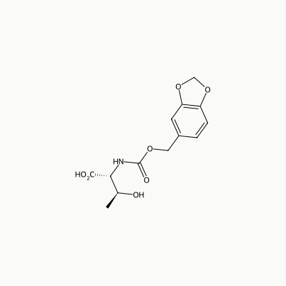 C[C@H](O)[C@@H](NC(=O)OCc1ccc2c(c1)OCO2)C(=O)O